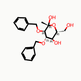 C[C@@]1(O)O[C@H](CO)[C@@H](O)[C@H](OCc2ccccc2)[C@H]1OCc1ccccc1